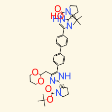 CC(C)(C)OC(=O)N1CCC[C@H]1c1nc(CC2OCCCO2)c(-c2ccc(-c3ccc(-c4c[nH]c([C@@]5(C(C)(C)C)CCCN5C(=O)O)n4)cc3)cc2)[nH]1